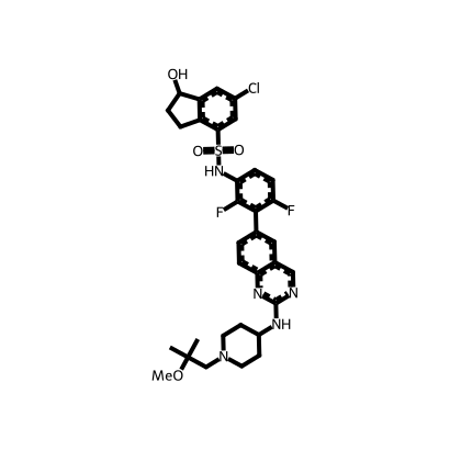 COC(C)(C)CN1CCC(Nc2ncc3cc(-c4c(F)ccc(NS(=O)(=O)c5cc(Cl)cc6c5CCC6O)c4F)ccc3n2)CC1